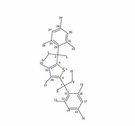 CCC(C)(c1sc(C(C)(CC)c2c(C)cc(C)cc2C)c(C)c1C)c1c(C)cc(C)cc1C